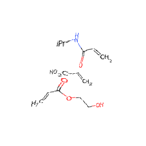 C=CC(=O)NC(C)C.C=CC(=O)O.C=CC(=O)OCCO